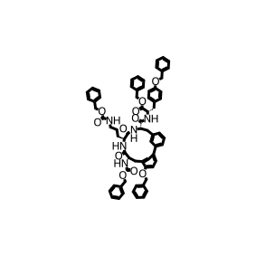 O=C(NCCC[C@@H]1NC(=O)[C@@H](NC(=O)OCc2ccccc2)Cc2cc(ccc2OCc2ccccc2)-c2cccc(c2)C[C@@H](C(=O)N[C@@H](Cc2ccc(OCc3ccccc3)cc2)C(=O)OCc2ccccc2)NC1=O)OCc1ccccc1